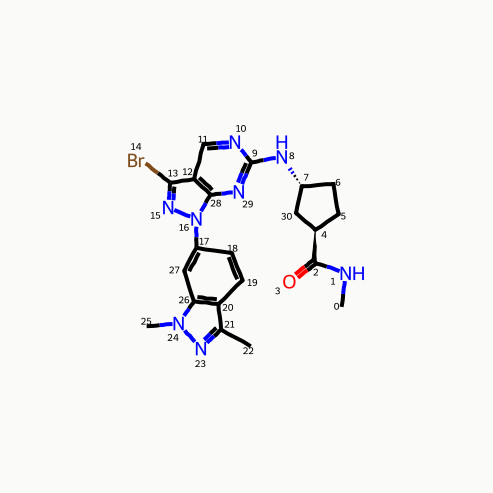 CNC(=O)[C@@H]1CC[C@@H](Nc2ncc3c(Br)nn(-c4ccc5c(C)nn(C)c5c4)c3n2)C1